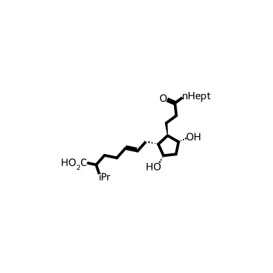 CCCCCCCC(=O)CC[C@@H]1[C@@H](CC=CCCC(C(=O)O)C(C)C)[C@@H](O)C[C@H]1O